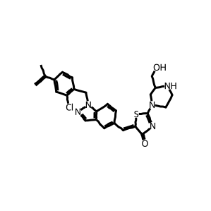 C=C(C)c1ccc(Cn2ncc3cc(/C=C4\SC(N5CCNC(CO)C5)=NC4=O)ccc32)c(Cl)c1